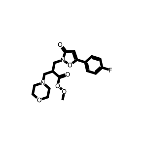 COOC(=O)C(CN1CCOCC1)Cn1oc(-c2ccc(F)cc2)cc1=O